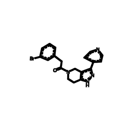 O=C(Cc1cccc(Br)c1)N1CCc2[nH]nc(-c3ccncc3)c2C1